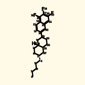 CCCCC[C@@H]1CC[C@@H]2CC(c3ccc4c(F)c(F)c(F)cc4c3)CCC2C1